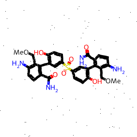 COCc1c(N)ccc(C(N)=O)c1-c1cc(S(=O)(=O)c2ccc(O)c(-c3c(C(N)=O)ccc(N)c3COC)c2)ccc1O